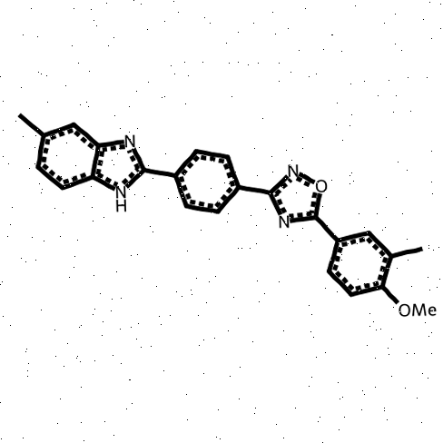 COc1ccc(-c2nc(-c3ccc(-c4nc5cc(C)ccc5[nH]4)cc3)no2)cc1C